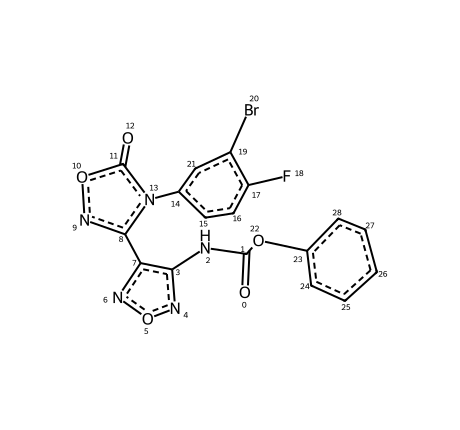 O=C(Nc1nonc1-c1noc(=O)n1-c1ccc(F)c(Br)c1)Oc1ccccc1